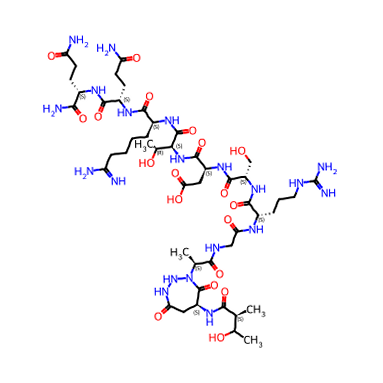 CC(O)[C@H](C)C(=O)N[C@H]1CC(=O)NNN([C@@H](C)C(=O)NCC(=O)N[C@@H](CCCNC(=N)N)C(=O)N[C@@H](CO)C(=O)N[C@@H](CC(=O)O)C(=O)N[C@H](C(=O)N[C@@H](CCCCC(=N)N)C(=O)N[C@@H](CCC(N)=O)C(=O)N[C@@H](CCC(N)=O)C(N)=O)[C@@H](C)O)C1=O